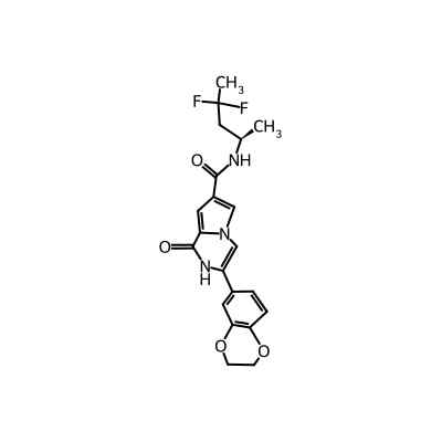 C[C@H](CC(C)(F)F)NC(=O)c1cc2c(=O)[nH]c(-c3ccc4c(c3)OCCO4)cn2c1